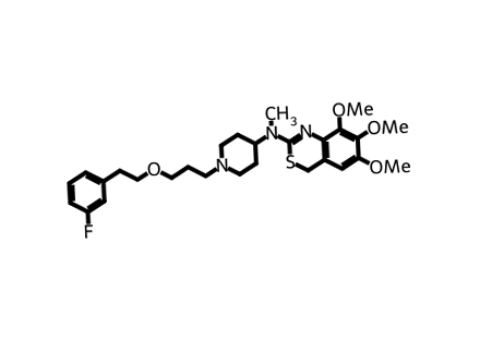 COc1cc2c(c(OC)c1OC)N=C(N(C)C1CCN(CCCOCCc3cccc(F)c3)CC1)SC2